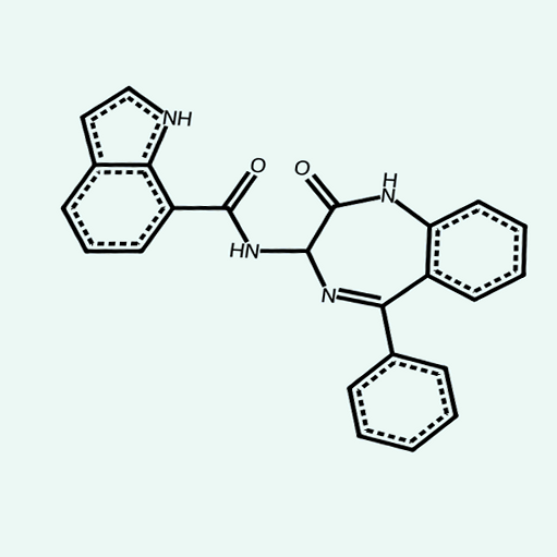 O=C(NC1N=C(c2ccccc2)c2ccccc2NC1=O)c1cccc2cc[nH]c12